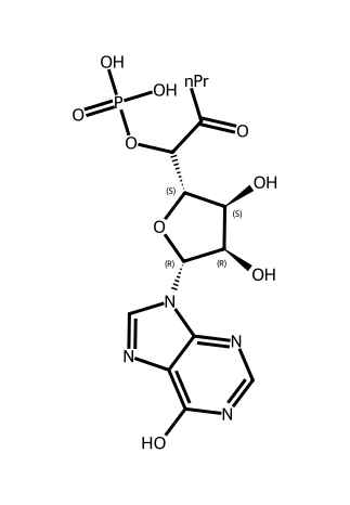 CCCC(=O)C(OP(=O)(O)O)[C@H]1O[C@@H](n2cnc3c(O)ncnc32)[C@H](O)[C@@H]1O